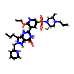 C=CCN1C[C@H](C)N(S(=O)(=O)c2cnc(OCC)c(-c3nc4c(CCC)n(Cc5ccccn5)nc4c(=O)[nH]3)c2)C[C@H]1C